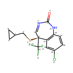 O=C1N=C[C@@](SCC2CC2)(C(F)(F)F)c2cc(Cl)ccc2N1